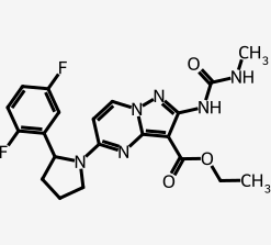 CCOC(=O)c1c(NC(=O)NC)nn2ccc(N3CCCC3c3cc(F)ccc3F)nc12